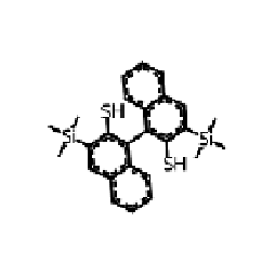 C[Si](C)(C)c1cc2ccccc2c(-c2c(S)c([Si](C)(C)C)cc3ccccc23)c1S